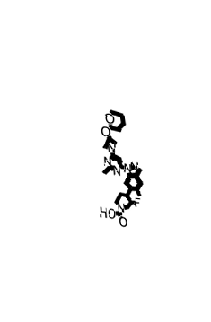 Cc1nc(N2CC(OC3CCCCO3)C2)cc(-n2ncc3cc(C)c(C4CCN(C(=O)O)CC4F)cc32)n1